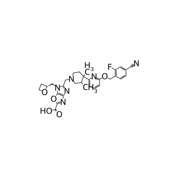 CC1CN(Cc2nc3nc(C(=O)O)oc3n2C[C@@H]2CCO2)CC[C@]1(C)c1cccc(OCc2ccc(C#N)cc2F)n1